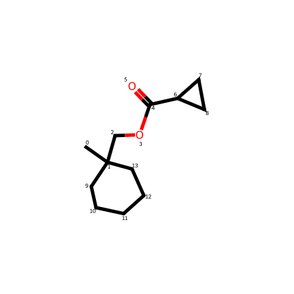 CC1(COC(=O)C2CC2)CCCCC1